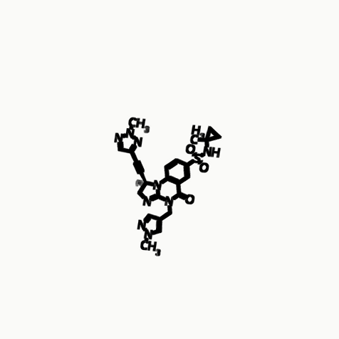 Cn1cc(CN2C(=O)c3cc(S(=O)(=O)NC4(C)CC4)ccc3N3C2=NC[C@H]3C#Cc2cnn(C)n2)cn1